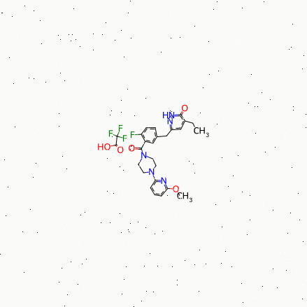 CCc1cc(Cc2ccc(F)c(C(=O)N3CCN(c4cccc(OC)n4)CC3)c2)n[nH]c1=O.O=C(O)C(F)(F)F